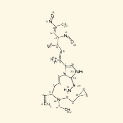 C=CC(C/C=C/N1C(/C(C)=C/C(Br)C(/C=C(\C)N=O)N=O)=CNC1SN)N(CC)CCC1CC1